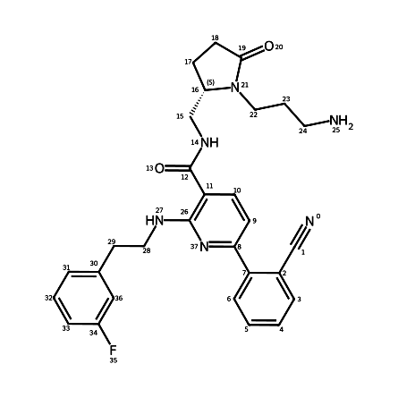 N#Cc1ccccc1-c1ccc(C(=O)NC[C@@H]2CCC(=O)N2CCCN)c(NCCc2cccc(F)c2)n1